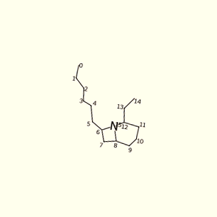 CCCCCCC1CC2CCCC(CC)N12